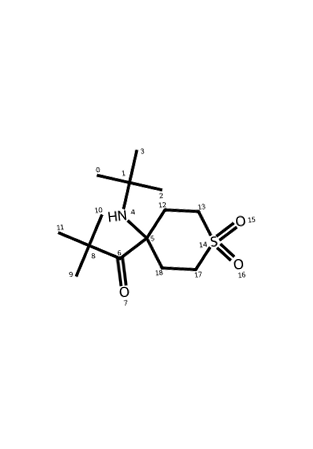 CC(C)(C)NC1(C(=O)C(C)(C)C)CCS(=O)(=O)CC1